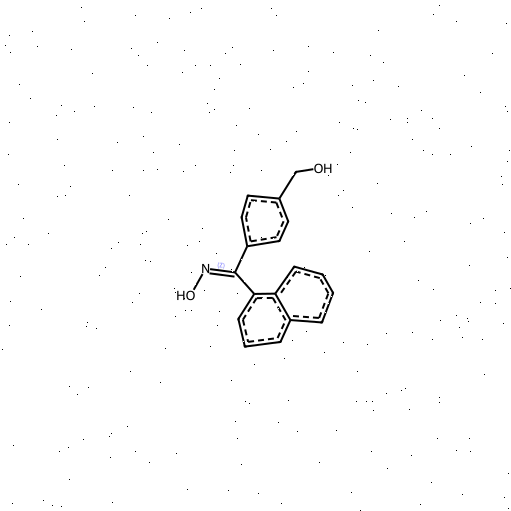 OCc1ccc(/C(=N/O)c2cccc3ccccc23)cc1